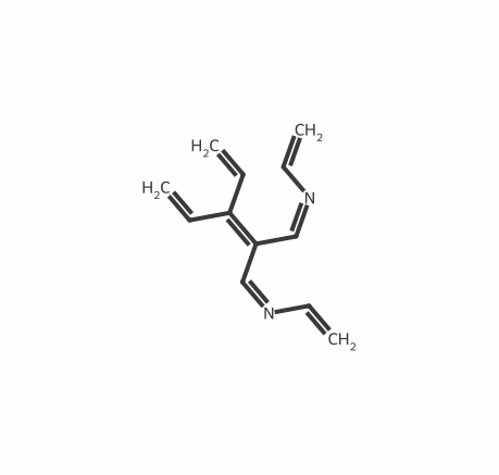 C=C/N=C\C(/C=N\C=C)=C(C=C)C=C